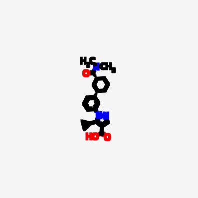 CN(C)C(=O)[C@@H]1CCC[C@H](c2cccc(-n3ncc(C(=O)O)c3C3CC3)c2)C1